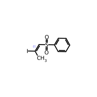 C/C(I)=C\S(=O)(=O)c1ccccc1